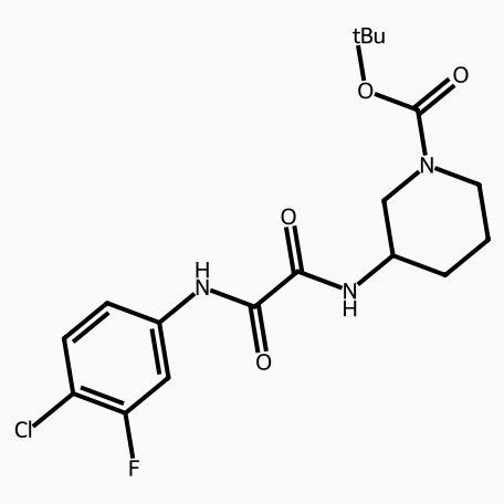 CC(C)(C)OC(=O)N1CCCC(NC(=O)C(=O)Nc2ccc(Cl)c(F)c2)C1